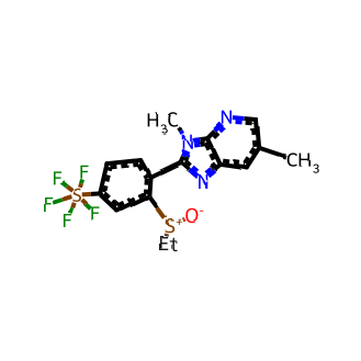 CC[S+]([O-])c1cc(S(F)(F)(F)(F)F)ccc1-c1nc2cc(C)cnc2n1C